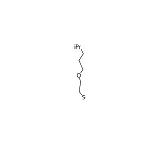 CC(C)CCCOCC[S]